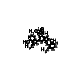 CCS(=O)(=O)Nc1cc(-c2cn(C)c3c(O)nccc23)cc2c1ccn2Cc1c(C)cccc1C